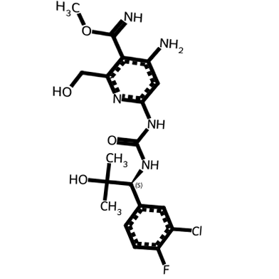 COC(=N)c1c(N)cc(NC(=O)N[C@@H](c2ccc(F)c(Cl)c2)C(C)(C)O)nc1CO